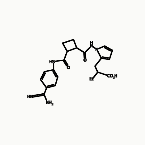 CCC(Cc1cccn1NC(=O)C1CCC1C(=O)Nc1ccc(C(=N)N)cc1)C(=O)O